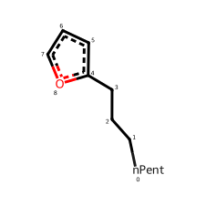 CCCCCCCCc1cc[c]o1